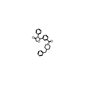 O=C(c1cccc(C2OCC(=O)N2c2ccccc2)c1)N1CCC(Cc2ccccc2)CC1